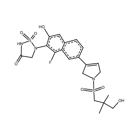 CC(C)(CO)CS(=O)(=O)N1CC=C(c2ccc3cc(O)c(N4CC(=O)NS4(=O)=O)c(F)c3c2)C1